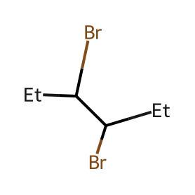 CCC(Br)C(Br)CC